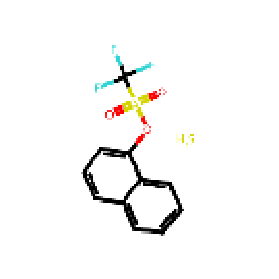 O=S(=O)(Oc1cccc2ccccc12)C(F)(F)F.S